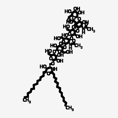 CCCCCCCCCCCCC/C=C/[C@@H](O)[C@H](CO[C@@H]1OC(CO)[C@@H](O[C@@H]2OC(CO)[C@H](O[C@@H]3OC(CO)[C@H](O)[C@H](O[C@@H]4OC(CO)[C@H](O)[C@H](O[C@@H]5OC(CO)[C@H](O[C@@H]6OC(CO)[C@H](O)[C@H](O)C6O)[C@H](O)C5NC(C)=O)C4O)C3NC(C)=O)[C@H](O)C2O)[C@H](O)C1O)NC(=O)CCCCCCCCCCCCCCC